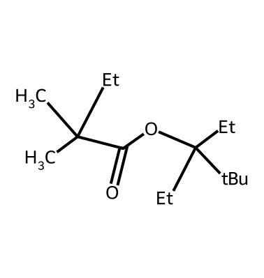 CCC(C)(C)C(=O)OC(CC)(CC)C(C)(C)C